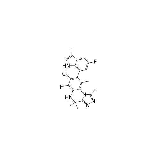 Cc1c(-c2cc(F)cc3c(C)c[nH]c23)c(Cl)c(F)c2c1-n1c(C)nnc1C(C)(C)N2